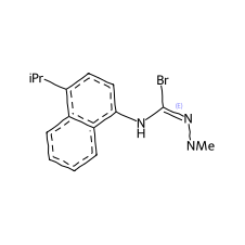 CN/N=C(/Br)Nc1ccc(C(C)C)c2ccccc12